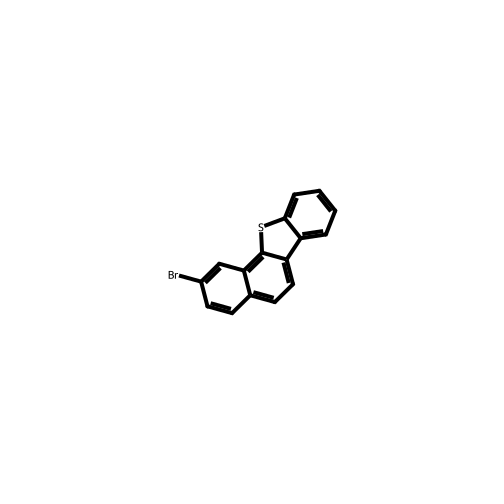 Brc1ccc2ccc3c4ccccc4sc3c2c1